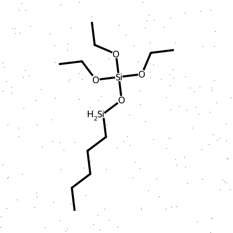 CCCCC[SiH2]O[Si](OCC)(OCC)OCC